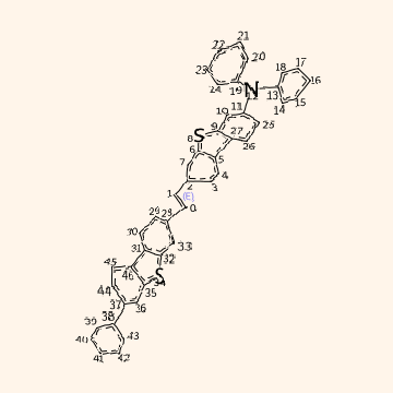 C(=C\c1ccc2c(c1)sc1cc(N(c3ccccc3)c3ccccc3)ccc12)/c1ccc2c(c1)sc1cc(-c3ccccc3)ccc12